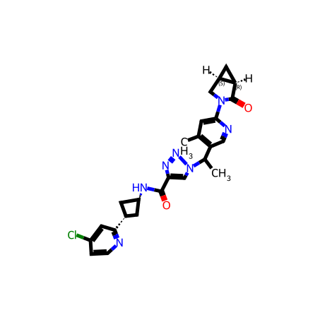 Cc1cc(N2C[C@H]3C[C@H]3C2=O)ncc1C(C)n1cc(C(=O)N[C@H]2C[C@@H](c3cc(Cl)ccn3)C2)nn1